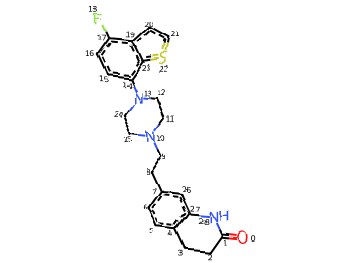 O=C1CCc2ccc(CCN3CCN(c4ccc(F)c5ccsc45)CC3)cc2N1